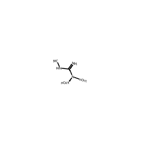 CCCCCCCCN(CCCCCCCC)C(=N)NC#N